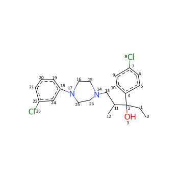 CCC(O)(c1ccc(Cl)cc1)C(C)CN1CCN(c2cccc(Cl)c2)CC1